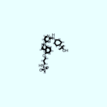 CC(C)(O)[C@H]1CC[C@H](Nc2nccc(-n3ncc4c(OCCCNS(C)(=O)=O)cccc43)n2)CC1